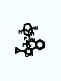 OC1[C@@H]2CC[C@H]1CC(NCc1c(-c3ccccc3OC(F)(F)F)noc1C1CC1)C2